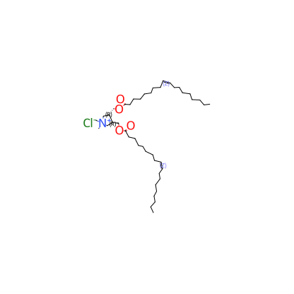 CCCCCCCC/C=C\CCCCCCCC(=O)OC[C@H]1C[N+](C)(C)C[C@@H]1COC(=O)CCCCCCC/C=C\CCCCCCCC.[Cl-]